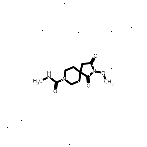 CNC(=O)N1CCC2(CC1)CC(=O)N(OC)C2=O